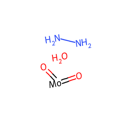 NN.O.[O]=[Mo]=[O]